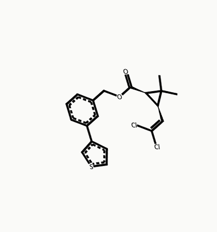 CC1(C)[C@H](C(=O)OCc2cccc(-c3ccsc3)c2)[C@@H]1C=C(Cl)Cl